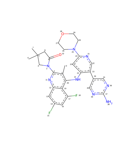 Cc1c(N2CC(C)(C)CC2=O)nc2cc(F)cc(F)c2c1Nc1cc(N2CCOCC2)ncc1-c1cnc(N)nc1